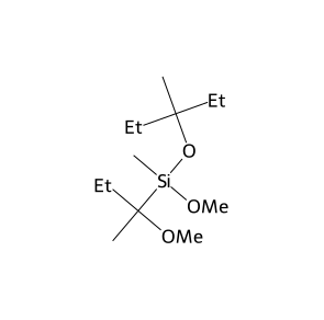 CCC(C)(CC)O[Si](C)(OC)C(C)(CC)OC